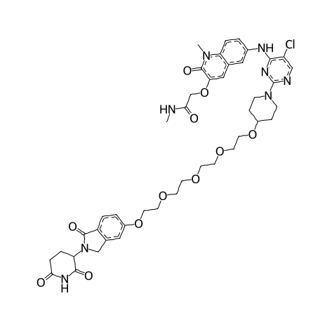 CNC(=O)COc1cc2cc(Nc3nc(N4CCC(OCCOCCOCCOCCOc5ccc6c(c5)CN(C5CCC(=O)NC5=O)C6=O)CC4)ncc3Cl)ccc2n(C)c1=O